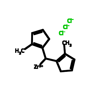 CC1=C([CH]([Zr+3])C2=C(C)C=CC2)CC=C1.[Cl-].[Cl-].[Cl-]